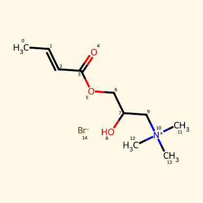 CC=CC(=O)OCC(O)C[N+](C)(C)C.[Br-]